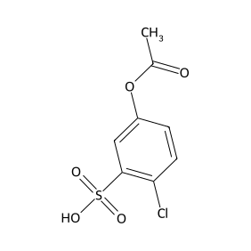 CC(=O)Oc1ccc(Cl)c(S(=O)(=O)O)c1